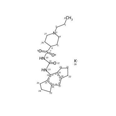 CCCN1CCC(S(=O)(=O)NC(=O)Nc2c3c(cc4c2CCC4)CCC3)CC1.[K]